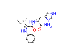 CC[C@H](C)[C@H](Nc1ccccc1)C(=O)N[C@@H](Cc1c[nH]cn1)C(N)=O